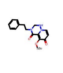 CCCCOc1c2n(ccc1=O)NCN(CCc1ccccc1)C2=O